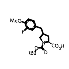 COc1ccc(CC2C[C@@H](C(=O)O)N(C(=O)OC(C)(C)C)C2)cc1F